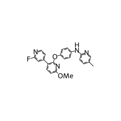 COc1ccc(-c2ccnc(F)c2)c(Oc2ccc(Nc3ccc(C)cn3)cc2)n1